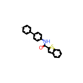 O=C(Nc1ccc(-c2cc[c]cc2)cc1)c1cc2ccccc2s1